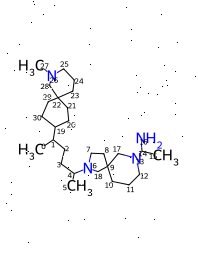 CC(CCC(C)N1CCC2(CCCN(C(C)N)C2)C1)C1CCC2(CCCN(C)C2)CC1